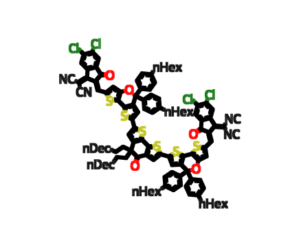 [C-]#[N+]C([N+]#[C-])=C1/C(=C/c2cc3c(s2)-c2sc(-c4cc5c(s4)-c4sc(-c6cc7c(s6)-c6sc(/C=C8\C(=O)c9cc(Cl)c(Cl)cc9C8=C(C#N)C#N)cc6OC7(c6ccc(CCCCCC)cc6)c6ccc(CCCCCC)cc6)cc4C(CCCCCCCCCCCC)(CCCCCCCCCCCC)C5=O)cc2C(c2ccc(CCCCCC)cc2)(c2ccc(CCCCCC)cc2)O3)C(=O)c2cc(Cl)c(Cl)cc21